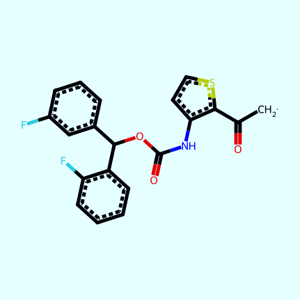 [CH2]C(=O)c1sccc1NC(=O)OC(c1cccc(F)c1)c1ccccc1F